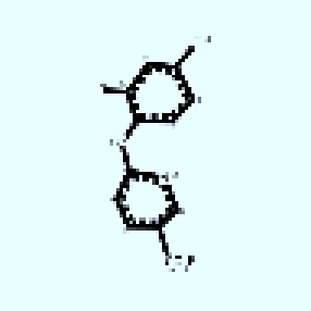 CCOC(=O)c1ccc(Oc2ccc(F)cc2C)nc1